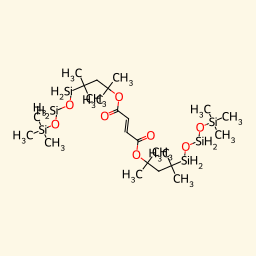 CC(C)(CC(C)(C)[SiH2]O[SiH2]O[Si](C)(C)C)OC(=O)C=CC(=O)OC(C)(C)CC(C)(C)[SiH2]O[SiH2]O[Si](C)(C)C